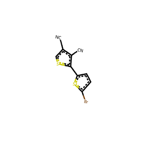 N#Cc1csc(-c2ccc(Br)s2)c1C#N